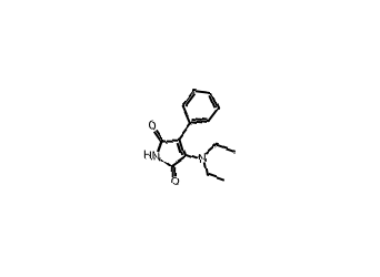 CCN(CC)C1=C(c2ccccc2)C(=O)NC1=O